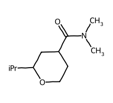 CC(C)C1CC(C(=O)N(C)C)CCO1